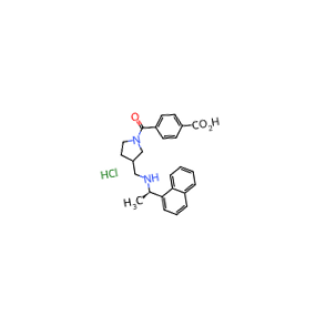 C[C@@H](NCC1CCN(C(=O)c2ccc(C(=O)O)cc2)C1)c1cccc2ccccc12.Cl